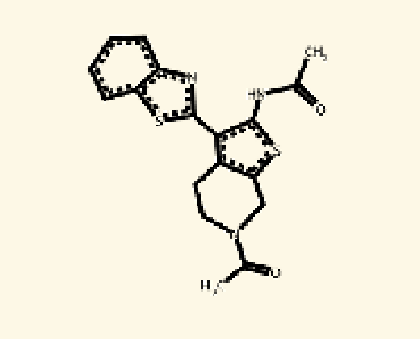 CC(=O)Nc1sc2c(c1-c1nc3ccccc3s1)CCN(C(C)=O)C2